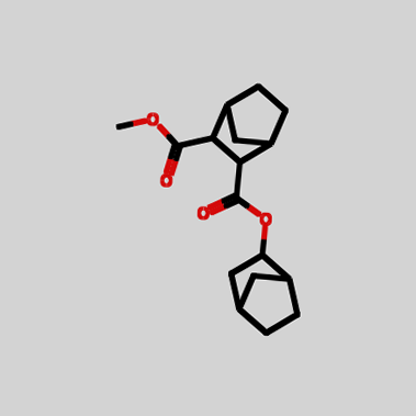 COC(=O)C1C2CCC(C2)C1C(=O)OC1CC2CCC1C2